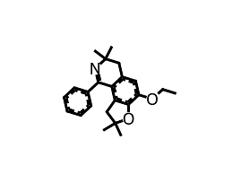 CCOc1cc2c(c3c1OC(C)(C)C3)C(c1ccccc1)=NC(C)(C)C2